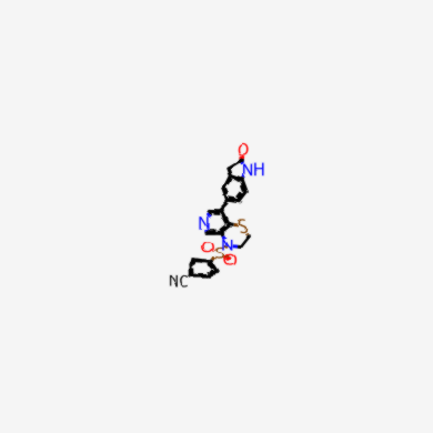 N#Cc1ccc(S(=O)(=O)N2CCSc3c(-c4ccc5c(c4)CC(=O)N5)cncc32)cc1